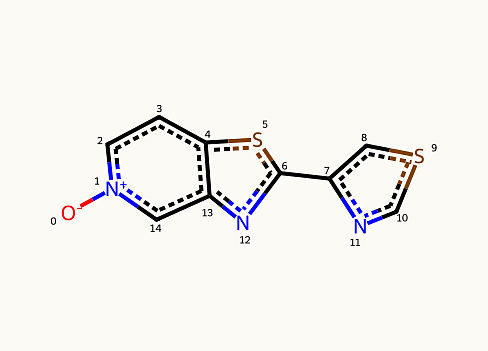 [O-][n+]1ccc2sc(-c3cscn3)nc2c1